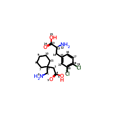 NCC1(CC(=O)O)CCCCC1.N[C@@H](Cc1ccc(Cl)c(Cl)c1)C(=O)O